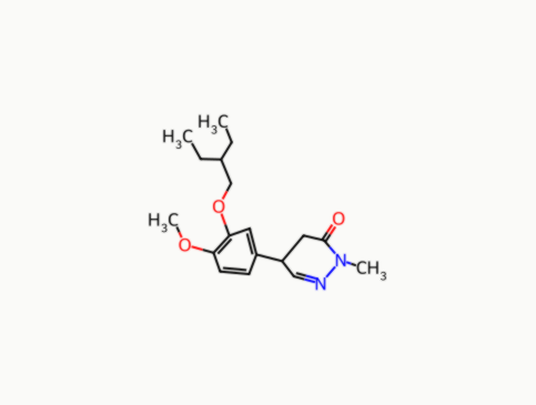 CCC(CC)COc1cc(C2C=NN(C)C(=O)C2)ccc1OC